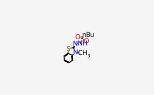 CCCCS(=O)(=O)NN=c1sc2ccccc2n1C